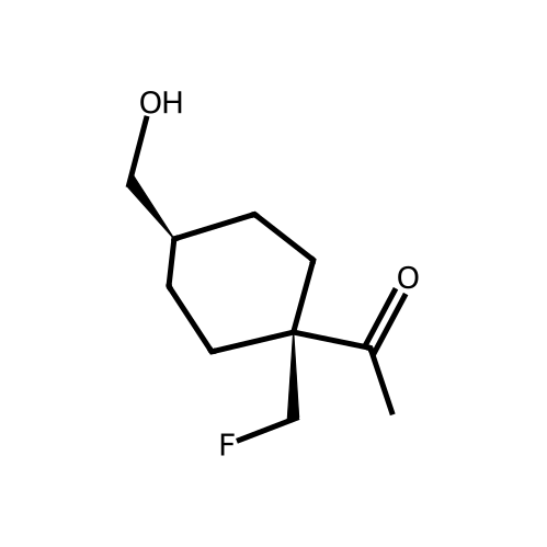 CC(=O)[C@]1(CF)CC[C@@H](CO)CC1